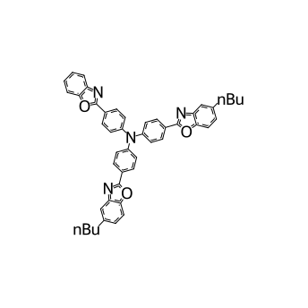 CCCCc1ccc2oc(-c3ccc(N(c4ccc(-c5nc6ccccc6o5)cc4)c4ccc(-c5nc6cc(CCCC)ccc6o5)cc4)cc3)nc2c1